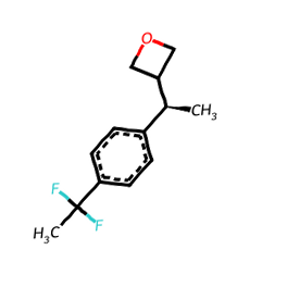 C[C@@H](c1ccc(C(C)(F)F)cc1)C1COC1